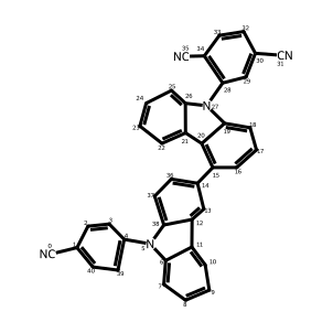 N#Cc1ccc(-n2c3ccccc3c3cc(-c4cccc5c4c4ccccc4n5-c4cc(C#N)ccc4C#N)ccc32)cc1